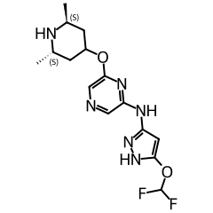 C[C@H]1CC(Oc2cncc(Nc3cc(OC(F)F)[nH]n3)n2)C[C@H](C)N1